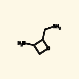 NCC1OCC1N